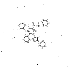 O=C(NC(Cc1ccccc1)C(O)C(=O)NCc1ccccc1)c1cccnc1-n1ccc(-c2ccccc2)n1